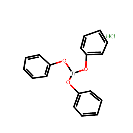 Cl.c1ccc([O][Ti]([O]c2ccccc2)[O]c2ccccc2)cc1